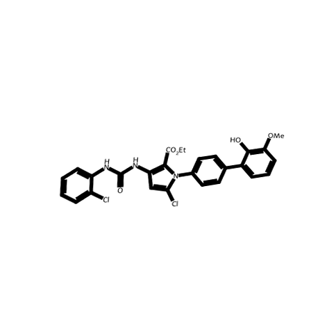 CCOC(=O)c1c(NC(=O)Nc2ccccc2Cl)cc(Cl)n1-c1ccc(-c2cccc(OC)c2O)cc1